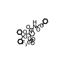 O=C(COc1ccccc1)NC1C(=O)N2C(C(=O)OC(c3ccccc3)c3ccccc3)=C(OS(=O)(=O)C(F)(F)F)CCC12